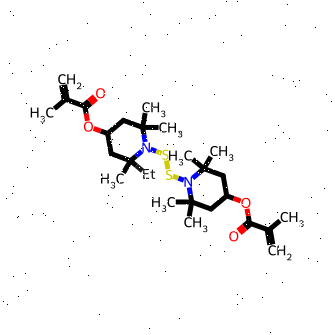 C=C(C)C(=O)OC1CC(C)(C)N(SSN2C(C)(C)CC(OC(=O)C(=C)C)CC2(C)CC)C(C)(C)C1